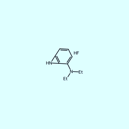 CCN(CC)c1cccc2c1N2.F